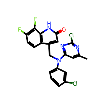 Cc1cc(N(Cc2cc(=O)[nH]c3c(F)c(F)ccc23)c2cccc(Cl)c2)nc(Cl)n1